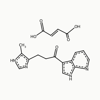 Cc1[nH]cnc1CCC(=O)c1c[nH]c2ncccc12.O=C(O)C=CC(=O)O